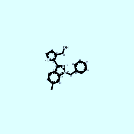 Cc1ccc2c(-c3occc3CO)nn(Cc3ccccc3)c2c1